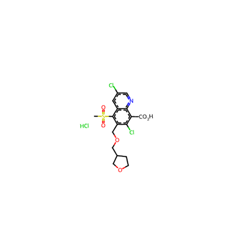 CS(=O)(=O)c1c(COCC2CCOC2)c(Cl)c(C(=O)O)c2ncc(Cl)cc12.Cl